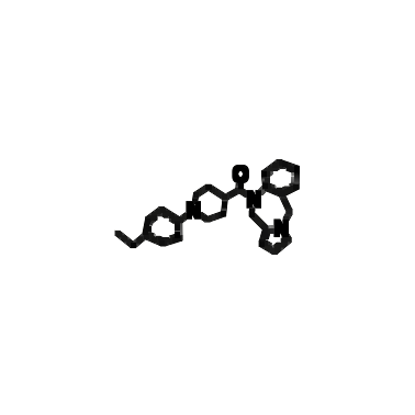 CCc1ccc(N2CCC(C(=O)N3Cc4cccn4Cc4ccccc43)CC2)cc1